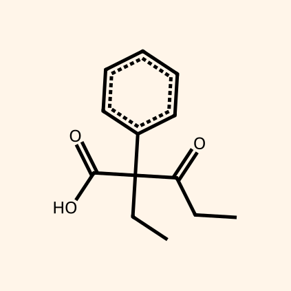 CCC(=O)C(CC)(C(=O)O)c1ccccc1